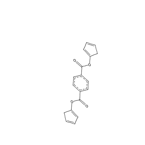 O=C(OC1=CC=CC1)c1ccc(C(=O)OC2=CC=CC2)cc1